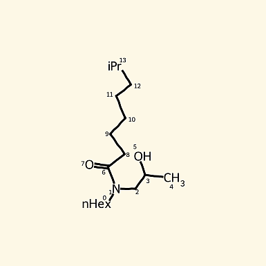 CCCCCCN(CC(C)O)C(=O)CCCCCC(C)C